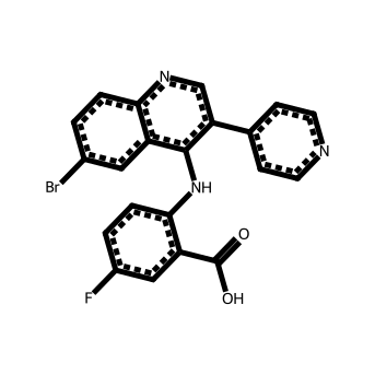 O=C(O)c1cc(F)ccc1Nc1c(-c2ccncc2)cnc2ccc(Br)cc12